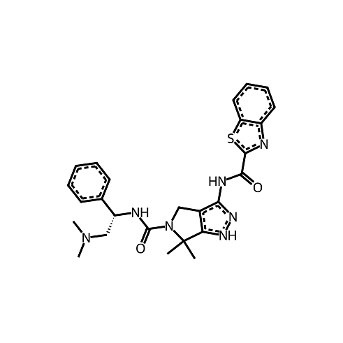 CN(C)C[C@@H](NC(=O)N1Cc2c(NC(=O)c3nc4ccccc4s3)n[nH]c2C1(C)C)c1ccccc1